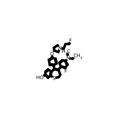 CCN(CC)c1ccc(C2=C(c3ccc(O[C@H]4CCN(CCCF)C4)cc3)c3ccc(O)cc3SCC2)c(F)c1